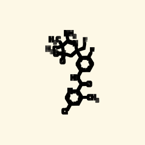 Cc1cc(Cl)cnc1C(=O)Nc1ccc(F)c([C@]2(CF)CS(=O)(=O)C(C)(C)C(N)=N2)c1